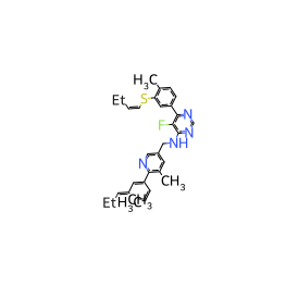 C\C=C/C(=C\C(C)=C\CC)c1ncc(CNc2ncnc(-c3ccc(C)c(S/C=C\CC)c3)c2F)cc1C